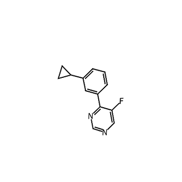 Fc1cncnc1-c1cccc(C2CC2)c1